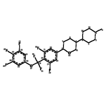 CC1CCC(C2CCC(c3cc(F)c(C(F)(F)Oc4cc(F)c(F)c(F)c4)c(F)c3)OC2)CC1